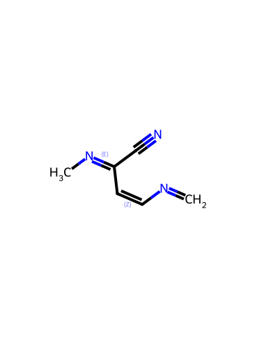 C=N/C=C\C(C#N)=N/C